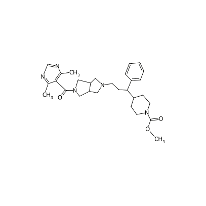 COC(=O)N1CCC(C(CCN2CC3CN(C(=O)c4c(C)ncnc4C)CC3C2)c2ccccc2)CC1